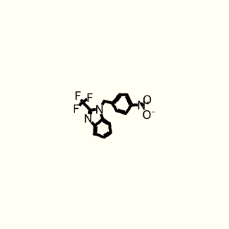 O=[N+]([O-])c1ccc(Cn2c(C(F)(F)F)nc3ccccc32)cc1